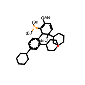 COC1=C(P(C(C)(C)C)C(C)(C)C)C(c2ccc(C3CCCCC3)cc2C2CCCCC2)C(OC)(C2CCCCC2)C=C1